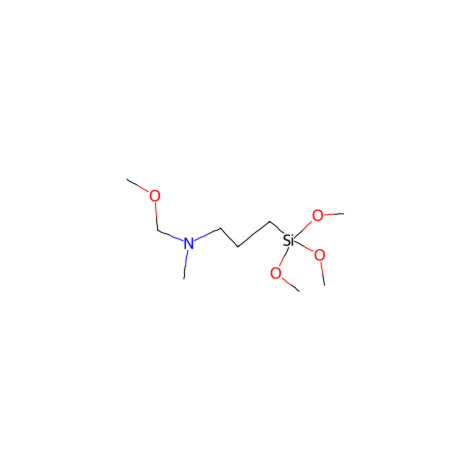 COCN(C)CCC[Si](OC)(OC)OC